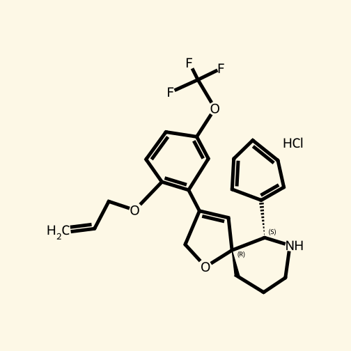 C=CCOc1ccc(OC(F)(F)F)cc1C1=C[C@@]2(CCCN[C@H]2c2ccccc2)OC1.Cl